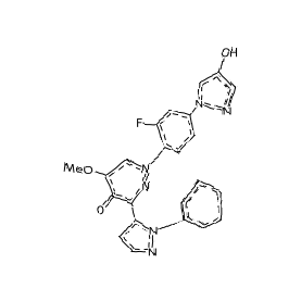 COc1cn(-c2ccc(-n3cc(O)cn3)cc2F)nc(-c2ccnn2-c2ccccc2)c1=O